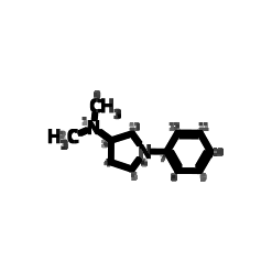 CN(C)C1CCN(c2cc[c]cc2)C1